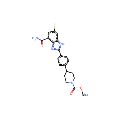 CCCCOC(=O)N1CCC(c2ccc(-c3nc4c(C(N)=O)cc(F)cc4[nH]3)cc2)CC1